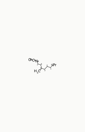 CC(C)CCCC(C)CCN=C=O